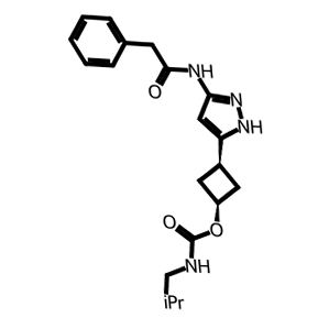 CC(C)CNC(=O)O[C@H]1C[C@@H](c2cc(NC(=O)Cc3ccccc3)n[nH]2)C1